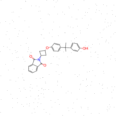 CC(C)(c1ccc(O)cc1)c1ccc(O[C@H]2C[C@H](N3C(=O)c4ccccc4C3=O)C2)cc1